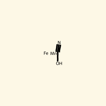 N#CO.[Fe].[Mn]